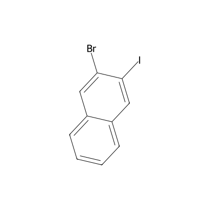 Brc1cc2ccccc2cc1I